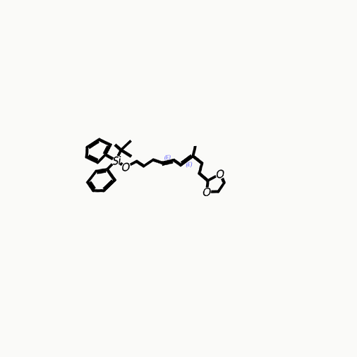 C/C(=C\C=C\CCCO[Si](c1ccccc1)(c1ccccc1)C(C)(C)C)CCC1OCCO1